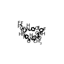 CC(C)(CNC(=O)C(=O)Nc1cc(F)cc(F)c1)CNC(=O)c1ccc(Nc2cc(NCc3ccc(Cl)cc3)nc(OCC(F)(F)F)n2)nc1